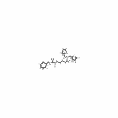 O=C[C](CCCCNC(=O)OCc1ccccc1)N(Cc1cccs1)Cc1cccs1